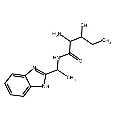 CCC(C)C(N)C(=O)NC(C)c1nc2ccccc2[nH]1